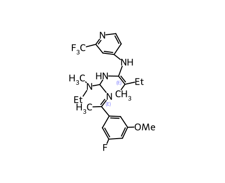 CC/C(C)=C(\Nc1ccnc(C(F)(F)F)c1)NC(/N=C(\C)c1cc(F)cc(OC)c1)N(C)CC